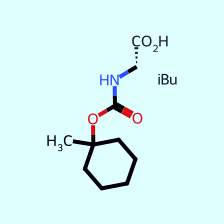 CC[C@H](C)[C@H](NC(=O)OC1(C)CCCCC1)C(=O)O